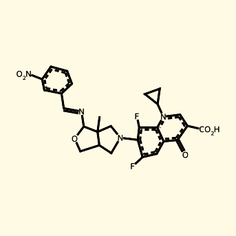 CC12CN(c3c(F)cc4c(=O)c(C(=O)O)cn(C5CC5)c4c3F)CC1COC2N=Cc1cccc([N+](=O)[O-])c1